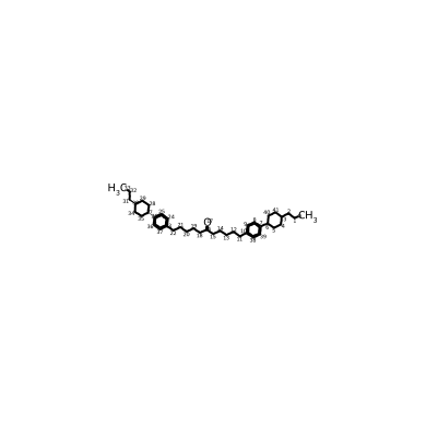 CCCC1CCC(c2ccc(CCCCCC(=O)CCCCCc3ccc([C@H]4CC[C@H](CCC)CC4)cc3)cc2)CC1